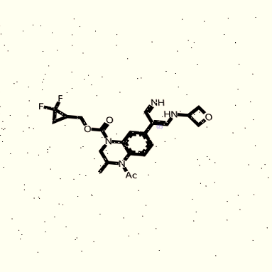 CC(=O)N1c2ccc(/C(C=N)=C/NC3COC3)cc2N(C(=O)OCC2CC2(F)F)CC1C